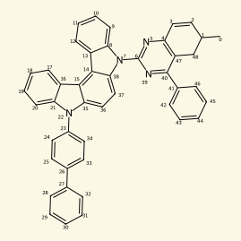 CC1C=Cc2nc(-n3c4ccccc4c4c5c6ccccc6n(-c6ccc(-c7ccccc7)cc6)c5ccc43)nc(-c3ccccc3)c2C1